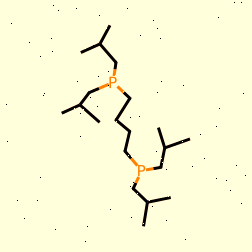 CC(C)CP(CCCCP(CC(C)C)CC(C)C)CC(C)C